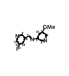 COc1cncc(N=Cc2cncc(F)c2)c1